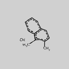 Cc1ccc2ccccc2c1C.[CH]